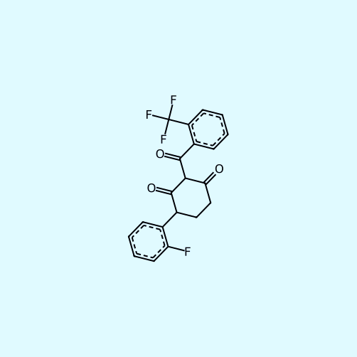 O=C1CCC(c2ccccc2F)C(=O)C1C(=O)c1ccccc1C(F)(F)F